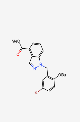 COC(=O)c1cccc2c1cnn2Cc1cc(Br)ccc1OCC(C)C